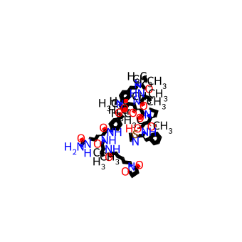 CC[C@H](C)[C@@H]([C@@H](CC(=O)N1CCC[C@H]1[C@H](OC)[C@@H](C)[C@H](O)N[C@@H](Cc1ccccc1)c1nccs1)OC)N(C)C(=O)[C@@H](NC(=O)[C@H](C(C)C)N(C)CCc1ccc(N(C)C(=O)OCc2ccc(NC(=O)[C@H](CCCNC(N)=O)NC(=O)[C@@H](NC(=O)CCCCCN3C(=O)C=CC3=O)C(C)C)cc2)cc1)C(C)C